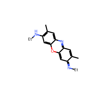 CC/N=c1/cc2oc3cc(NCC)c(C)cc3nc-2cc1C